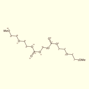 COCCOCCOC(=O)OCOC(=O)OCCOCCOC